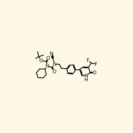 CC(C)(C)OC(=O)N(C(=O)N(C#N)CCc1ccc(-c2c[nH]c(=O)c(C(F)F)c2)cc1)C1CCCCC1